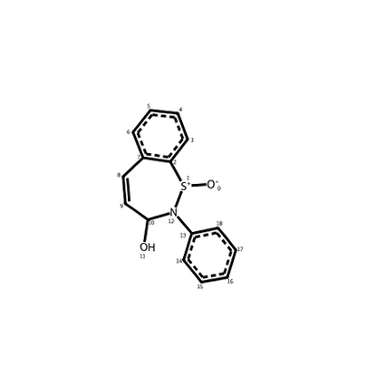 [O-][S+]1c2ccccc2C=CC(O)N1c1ccccc1